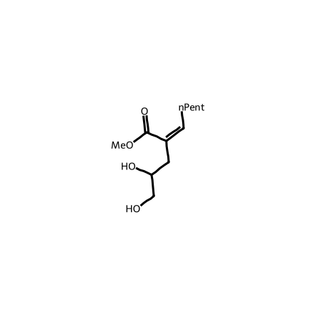 CCCCCC=C(CC(O)CO)C(=O)OC